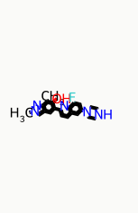 Cc1c(O)c(-c2ccc3cc(N4CCNCC4)cc(F)c3n2)cc2cn(C)nc12